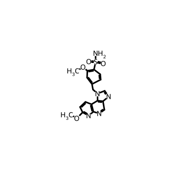 COc1ccc2c(ncc3ncn(Cc4ccc(S(N)(=O)=O)c(OC)c4)c32)n1